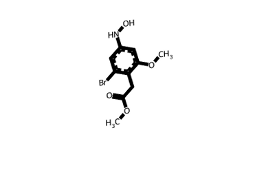 COC(=O)Cc1c(Br)cc(NO)cc1OC